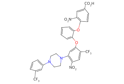 O=C(O)c1ccc(Oc2ccccc2Oc2cc(N3CCN(c4cccc(C(F)(F)F)c4)CC3)c([N+](=O)[O-])cc2C(F)(F)F)c([N+](=O)[O-])c1